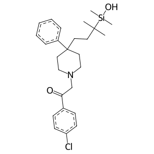 CC(C)(CCC1(c2ccccc2)CCN(CC(=O)c2ccc(Cl)cc2)CC1)[Si](C)(C)O